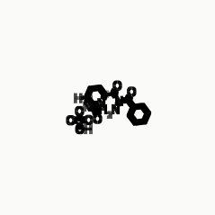 NN(C(=O)C1CCCCC1)C(=O)[C@@H]1CC[C@@H]2CN1C(=O)N2OS(=O)(=O)O